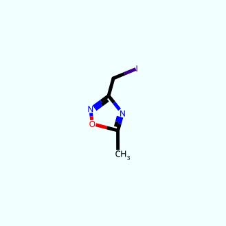 Cc1nc(CI)no1